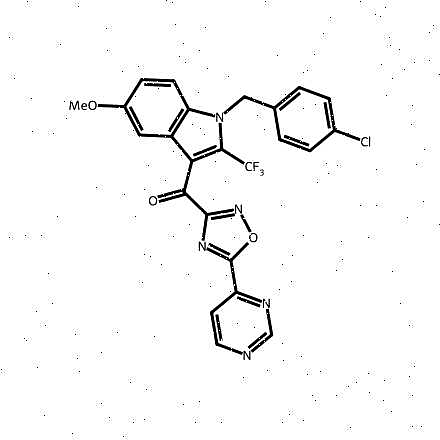 COc1ccc2c(c1)c(C(=O)c1noc(-c3ccncn3)n1)c(C(F)(F)F)n2Cc1ccc(Cl)cc1